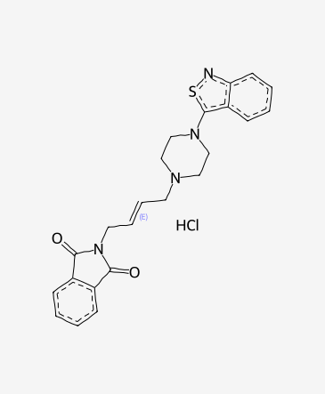 Cl.O=C1c2ccccc2C(=O)N1C/C=C/CN1CCN(c2snc3ccccc23)CC1